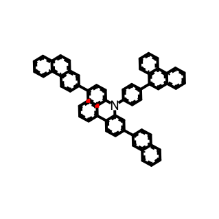 c1ccc(-c2ccc(-c3ccc4ccccc4c3)cc2N(c2ccc(-c3ccc4c(ccc5ccccc54)c3)cc2)c2ccc(-c3cc4ccccc4c4ccccc34)cc2)cc1